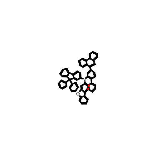 c1ccc(-c2ccc(-c3cc4ccccc4c4ccccc34)cc2N(c2ccc3c(c2)C(c2ccccc2)(c2ccccc2)c2ccccc2-3)c2ccc3c(c2)oc2ccccc23)cc1